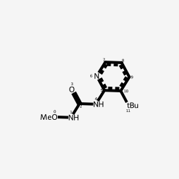 CONC(=O)Nc1ncccc1C(C)(C)C